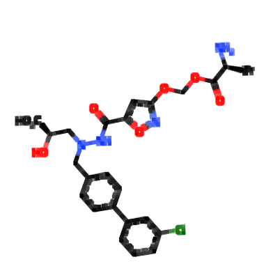 CC(C)[C@H](N)C(=O)OCOc1cc(C(=O)NN(Cc2ccc(-c3cccc(Cl)c3)cc2)C[C@@H](O)C(=O)O)on1